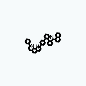 c1ccc(-c2ccc3ccc4ccc(-c5ccc(-c6cccc7nc(-c8cccc9ccccc89)c8ccccc8c67)cc5)nc4c3n2)cc1